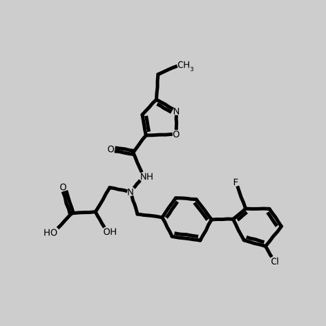 CCc1cc(C(=O)NN(Cc2ccc(-c3cc(Cl)ccc3F)cc2)CC(O)C(=O)O)on1